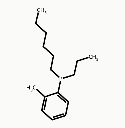 CCCCCCP(CCC)c1ccccc1C